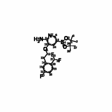 CC1(C)OB(c2cnc(N)c(OCCc3cc(F)ccc3C(F)F)c2)OC1(C)C